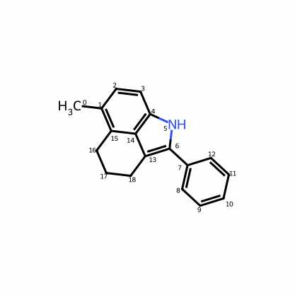 Cc1ccc2[nH]c(-c3ccccc3)c3c2c1CCC3